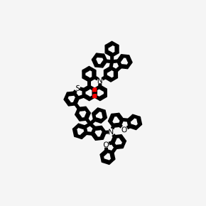 c1ccc(N(c2ccc3c(c2)C(c2ccccc2)(c2ccccc2)c2ccccc2-3)c2ccccc2-c2cccc3c2sc2cccc(-c4ccc(C5(c6ccccc6)c6ccccc6-c6ccc(N(c7cccc8c7oc7ccccc78)c7cccc8c7oc7ccccc78)cc65)cc4)c23)cc1